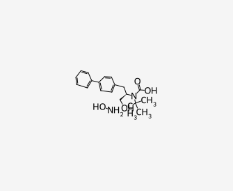 CC(C)(C)N(C(=O)O)[C@@H](CO)Cc1ccc(-c2ccccc2)cc1.NO